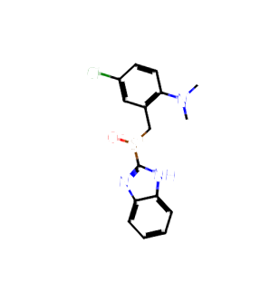 CN(C)c1ccc(Cl)cc1C[S+]([O-])c1nc2ccccc2[nH]1